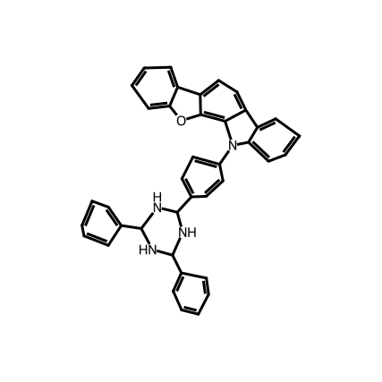 c1ccc(C2NC(c3ccccc3)NC(c3ccc(-n4c5ccccc5c5ccc6c7ccccc7oc6c54)cc3)N2)cc1